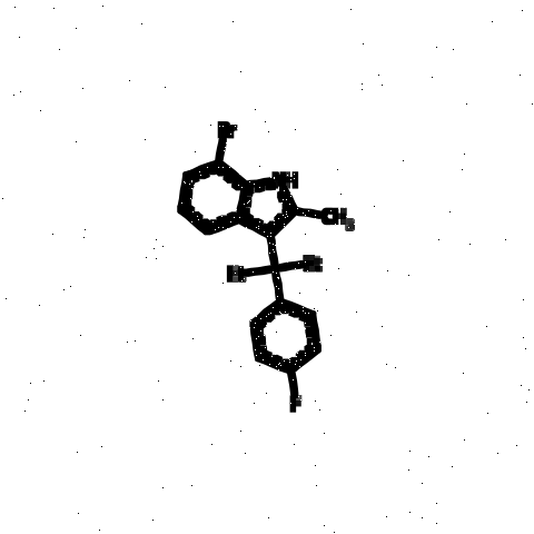 CCC(CC)(c1ccc(F)cc1)c1c(C)[nH]c2c(Br)cccc12